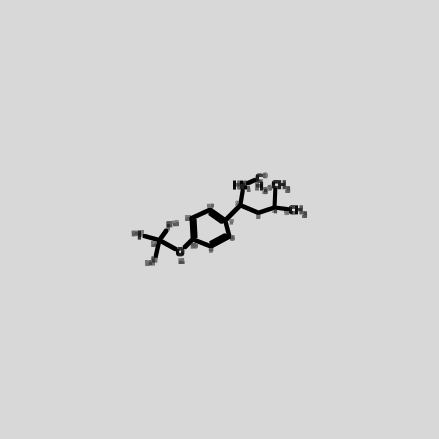 CNC(CC(C)C)c1ccc(OC(F)(F)F)cc1